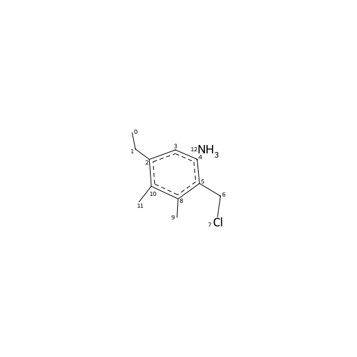 CCc1ccc(CCl)c(C)c1C.N